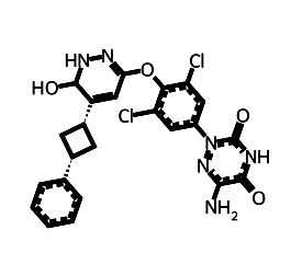 Nc1nn(-c2cc(Cl)c(OC3=NNC(O)C([C@H]4C[C@@H](c5ccccc5)C4)=C3)c(Cl)c2)c(=O)[nH]c1=O